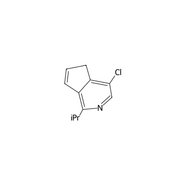 CC(C)c1ncc(Cl)c2c1C=CC2